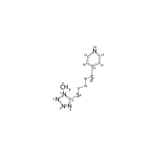 Cn1nnnc1SCCCSc1ccncc1